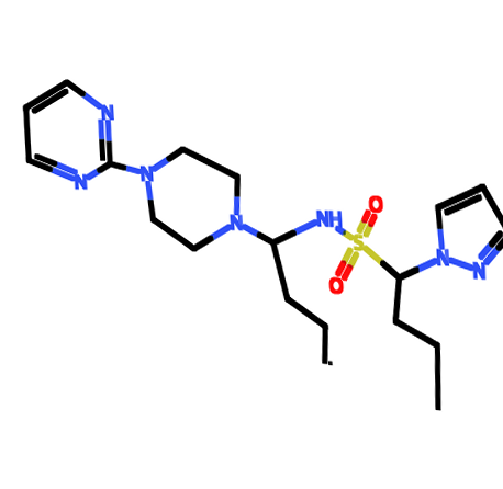 [CH2]CCC(NS(=O)(=O)C(CCC)n1cccn1)N1CCN(c2ncccn2)CC1